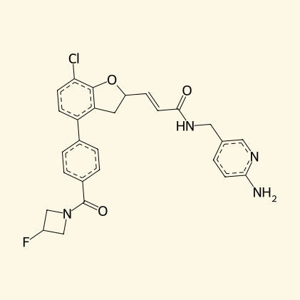 Nc1ccc(CNC(=O)C=CC2Cc3c(-c4ccc(C(=O)N5CC(F)C5)cc4)ccc(Cl)c3O2)cn1